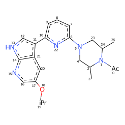 CC(=O)N1C(C)CN(c2cccc(-c3c[nH]c4ncc(OC(C)C)cc34)n2)CC1C